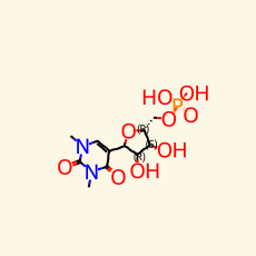 Cn1cc(C2O[C@H](COP(=O)(O)O)[C@@H](O)[C@H]2O)c(=O)n(C)c1=O